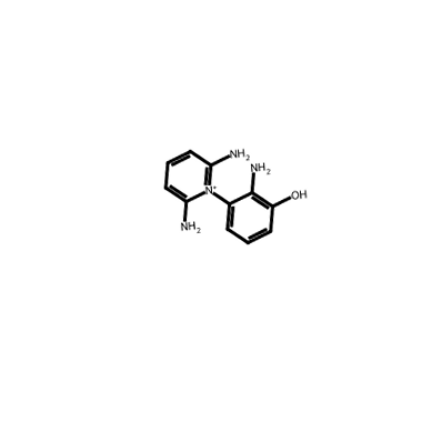 Nc1c(O)cccc1-[n+]1c(N)cccc1N